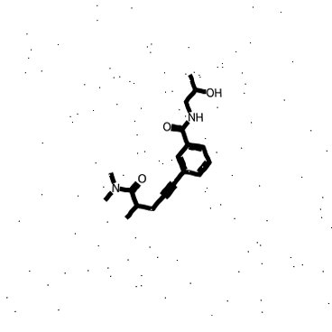 CC(O)CNC(=O)c1cccc(C#CCC(C)C(=O)N(C)C)c1